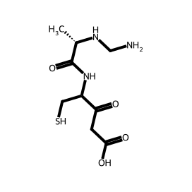 C[C@H](NCN)C(=O)NC(CS)C(=O)CC(=O)O